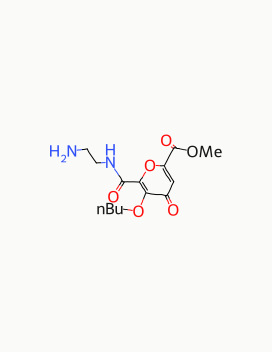 CCCCOc1c(C(=O)NCCN)oc(C(=O)OC)cc1=O